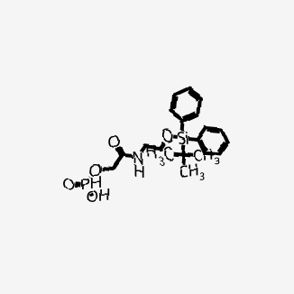 CC(C)(C)[Si](OCCNC(=O)CO[PH](=O)O)(c1ccccc1)c1ccccc1